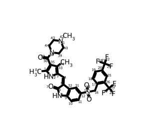 Cc1[nH]c(/C=C2\C(=O)Nc3ccc(S(=O)(=O)Cc4ccc(C(F)(F)F)cc4C(F)(F)F)cc32)c(C)c1C(=O)N1CCN(C)CC1